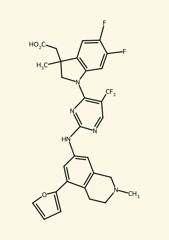 CN1CCc2c(cc(Nc3ncc(C(F)(F)F)c(N4CC(C)(CC(=O)O)c5cc(F)c(F)cc54)n3)cc2-c2ccco2)C1